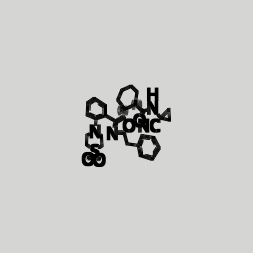 N#CC1(NC(=O)[C@@H]2CCCC[C@H]2c2oc(Cc3ccccc3)nc2-c2ccccc2N2CCS(=O)(=O)CC2)CC1